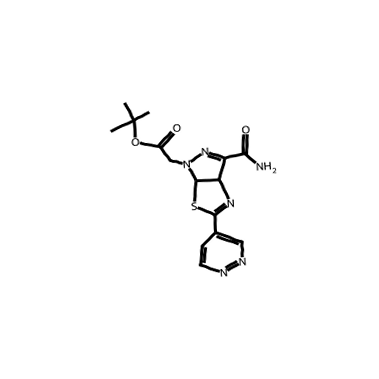 CC(C)(C)OC(=O)CN1N=C(C(N)=O)C2N=C(c3ccnnc3)SC21